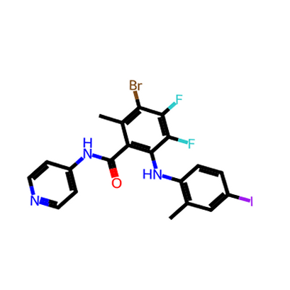 Cc1cc(I)ccc1Nc1c(F)c(F)c(Br)c(C)c1C(=O)Nc1ccncc1